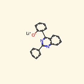 [Li+].[O-]c1ccccc1-c1nc(-c2ccccc2)nc2ccccc12